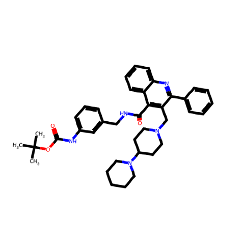 CC(C)(C)OC(=O)Nc1cccc(CNC(=O)c2c(CN3CCC(N4CCCCC4)CC3)c(-c3ccccc3)nc3ccccc23)c1